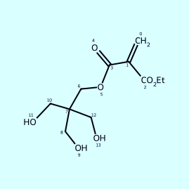 C=C(C(=O)OCC)C(=O)OCC(CO)(CO)CO